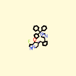 O=C1/C(=C/c2ccccc2-c2cn(C(c3ccccc3)(c3ccccc3)c3ccccc3)cn2)CCn2ncc(F)c21